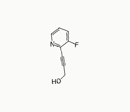 OCC#Cc1ncccc1F